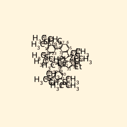 CCC1=Cc2c(ccc(C)c2-c2cc([Si](C)(C)C)cc([Si](C)(C)C)c2)[CH]1[Zr]([Cl])([Cl])([CH]1C(CC)=Cc2c1ccc(C)c2-c1cc([Si](C)(C)C)cc([Si](C)(C)C)c1)[SiH](C)C